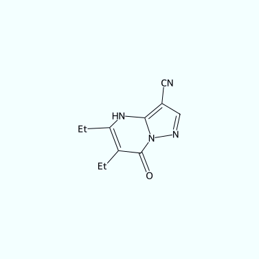 CCc1[nH]c2c(C#N)cnn2c(=O)c1CC